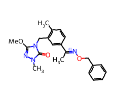 COc1nn(C)c(=O)n1Cc1cc(/C(C)=N/OCc2ccccc2)ccc1C